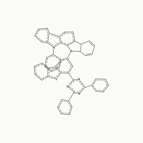 C1=CC2c3ccc4c5ccccc5n(-c5ccccc5)c4c3N(c3cc(-c4nc(-c5ccccc5)nc(-c5ccccc5)n4)c4sc5ccccc5c4c3)C2C=C1